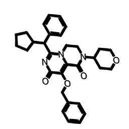 O=C1c2c(OCc3ccccc3)c(=O)nc(C(c3ccccc3)C3CCCC3)n2CCN1C1CCOCC1